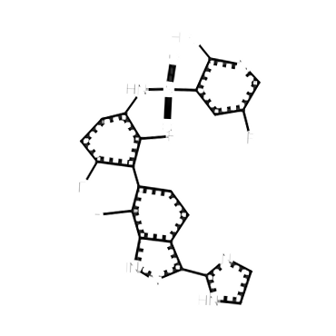 Cc1ncc(F)cc1S(=O)(=O)Nc1ccc(F)c(-c2ccc3c(-c4ncc[nH]4)n[nH]c3c2F)c1F